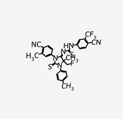 Cc1ccc(N2C(=S)N(c3ccc(C#N)c(C)c3)/C(=N/C(=S)Nc3ccc(C#N)c(C(F)(F)F)c3)C2(C)CF)cc1